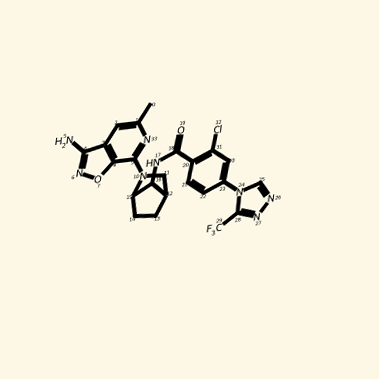 Cc1cc2c(N)noc2c(N2CC3CCC2C3NC(=O)c2ccc(-n3cnnc3C(F)(F)F)cc2Cl)n1